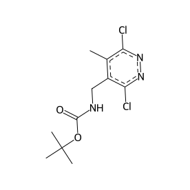 Cc1c(Cl)nnc(Cl)c1CNC(=O)OC(C)(C)C